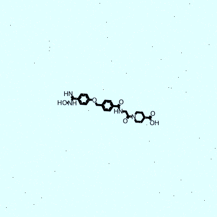 N=C(NO)c1ccc(OCc2ccc(C(=O)NCC(=O)N3CCC(C(=O)O)CC3)cc2)cc1